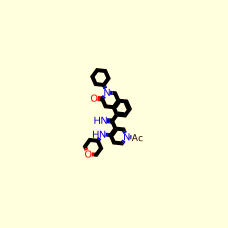 CC(=O)N1CCC(NC2CCOCC2)=C(C(=N)c2cccc3c2CC(=O)N(C2CCCCC2)C3)C1